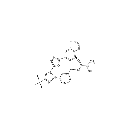 C[C@H](N)C(=O)NCc1cccc(-n2nc(C(F)(F)F)cc2-c2nnc(-c3cnc4ccccc4c3)o2)c1